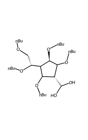 CCCCOC[C@@H](OCCCC)C1C(OCCCC)[C@@H](C(O)O)C(OCCCC)[C@@H]1OCCCC